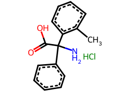 Cc1ccccc1C(N)(C(=O)O)c1ccccc1.Cl